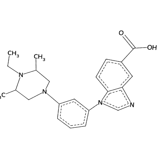 CCN1C(C)CN(c2cccc(-n3cnc4cc(C(=O)O)ccc43)c2)CC1C